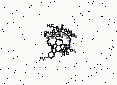 CO[C@H]1/C=C/OC(=O)C2=c3c4c(O)c(c5c3nc3cc(C)ccn35)NC(=O)/C(C)=C\C=C\[C@H](C)[C@H](O)[C@@H](C)[C@@H](O)[C@@H](C)[C@H](OC(C)=O)[C@H]1C(C)C2C#CC=4O